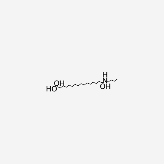 CCCCNC(O)CCCCCCCCCCCCCCC(O)O